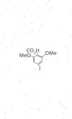 COc1cc(I)cc(OC)c1C(=O)O